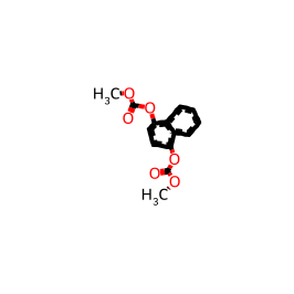 COC(=O)Oc1ccc(OC(=O)OC)c2ccccc12